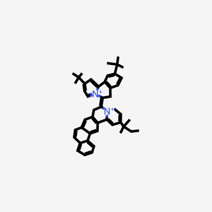 CCC(C)(C)c1cc[n+]2c(c1)-c1cc3c(ccc4ccccc43)cc1C/C2=C1/Cc2ccc(C(C)(C)C)cc2-c2cc(C(C)(C)C)cc[n+]21